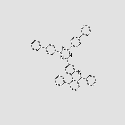 c1ccc(-c2ccc(-c3nc(-c4ccc(-c5ccccc5)cc4)nc(-c4ccc5c(c4)nc(-c4ccccc4)c4cccc(-c6ccccc6)c45)n3)cc2)cc1